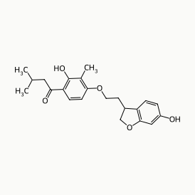 Cc1c(OCCC2COc3cc(O)ccc32)ccc(C(=O)CC(C)C)c1O